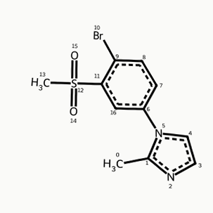 Cc1nccn1-c1ccc(Br)c(S(C)(=O)=O)c1